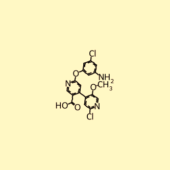 COc1cnc(Cl)cc1-c1cc(Oc2cc(N)cc(Cl)c2)ncc1C(=O)O